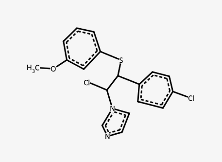 COc1cccc(SC(c2ccc(Cl)cc2)C(Cl)n2ccnc2)c1